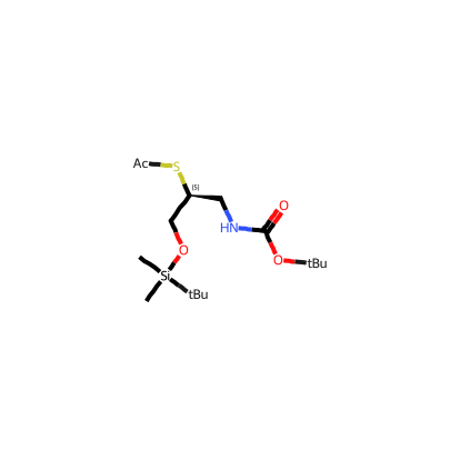 CC(=O)S[C@@H](CNC(=O)OC(C)(C)C)CO[Si](C)(C)C(C)(C)C